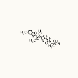 Cc1ccc2oc(N3[C@H](C)Cc4nc(NC(=O)NCC(C)(C)O)sc4[C@@H]3C)nc2c1